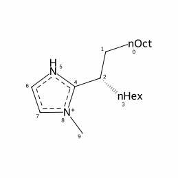 CCCCCCCCC[C@H](CCCCCC)c1[nH]cc[n+]1C